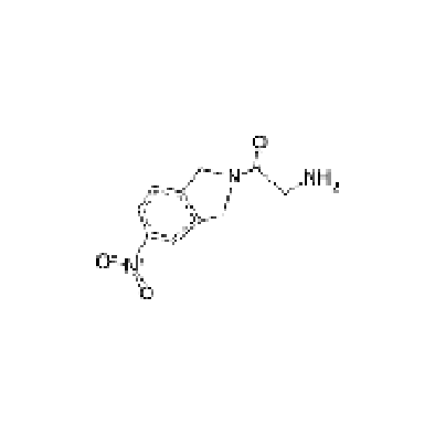 NCC(=O)N1Cc2ccc([N+](=O)[O-])cc2C1